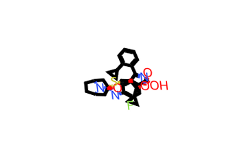 O=C(O)c1cc(F)c2nc(N3C4CCC3CC(OCc3c(-c5ccccc5C5CC5)noc3C3CC3)C4)sc2c1